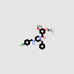 COc1cc(OC)cc(C(=O)N2CC[C@H](NCc3ccc(Cl)cc3)C[C@@H]2Cc2ccccc2)c1